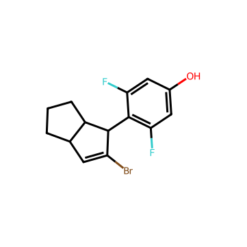 Oc1cc(F)c(C2C(Br)=CC3CCCC32)c(F)c1